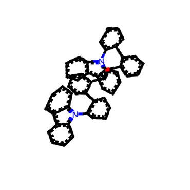 C(=C\c1ccccc1-c1ccccc1-n1c2ccccc2c2ccccc21)/c1ccccc1-c1ccccc1-n1c2ccccc2c2ccccc21